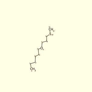 CCCCCCOCCCSC